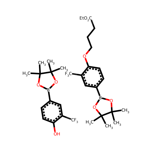 CC1(C)OB(c2ccc(O)c(C(F)(F)F)c2)OC1(C)C.CCOC(=O)CCCOc1ccc(B2OC(C)(C)C(C)(C)O2)cc1C(F)(F)F